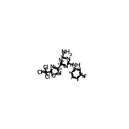 Nc1nc(Nc2cccc(F)c2)nc(-c2noc(C(Cl)(Cl)Cl)n2)n1